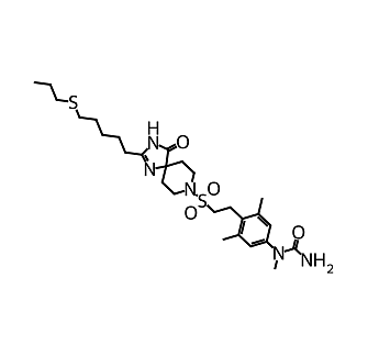 CCCSCCCCCC1=NC2(CCN(S(=O)(=O)CCc3c(C)cc(N(C)C(N)=O)cc3C)CC2)C(=O)N1